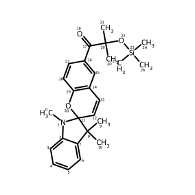 CN1c2ccccc2C(C)(C)C12C=Cc1cc(C(=O)C(C)(C)O[Si](C)(C)C)ccc1O2